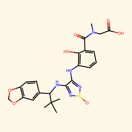 CN(CC(=O)O)C(=O)c1cccc(Nc2n[s+]([O-])nc2NC(c2ccc3c(c2)OCO3)C(C)(C)C)c1O